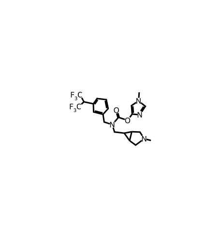 CN1CC2C(C1)C2CN(Cc1cccc(C(C(F)(F)F)C(F)(F)F)c1)C(=O)Oc1cn(C)cn1